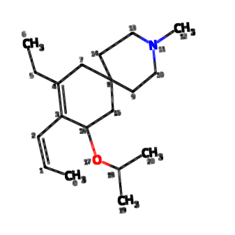 C/C=C\C1=C(CC)CC2(CCN(C)CC2)CC1OC(C)C